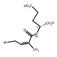 CC(=CCC(C)C)C(=O)N[C@H](CCC(=O)O)C(=O)O